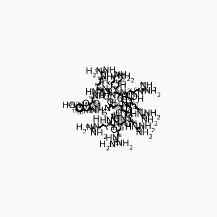 CC(=O)N[C@@H](CCCNC(N)N)C(=O)N[C@@H](CCCNC(N)N)C(=O)N[C@@H](CCCNC(N)N)C(=O)C(=O)[C@H](CCC(N)=O)NN[C@@H](CCCNC(N)N)C(=O)C(=O)[C@H](CCCNC(N)N)NC(=O)[C@H](CCCCN)NC(=O)[C@H](CCCCN)NC(=O)[C@H](CCCNC(N)N)NNCC(=O)C(=O)[C@@H](N)Cc1ccc(O)cc1